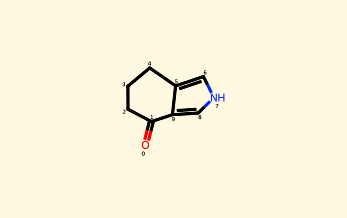 O=C1CCCc2c[nH]cc21